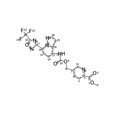 COC(=O)c1ccc(COC(=O)Nc2ccc(-c3noc(C(F)(F)F)n3)n3nccc23)cn1